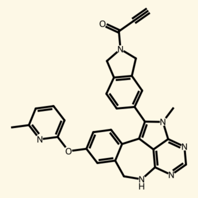 C#CC(=O)N1Cc2ccc(-c3c4c5c(ncnc5n3C)NCc3cc(Oc5cccc(C)n5)ccc3-4)cc2C1